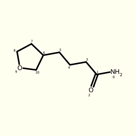 NC(=O)CCCC1CCOC1